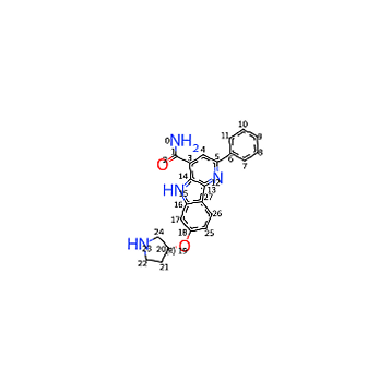 NC(=O)c1cc(-c2ccccc2)nc2c1[nH]c1cc(O[C@@H]3CCNC3)ccc12